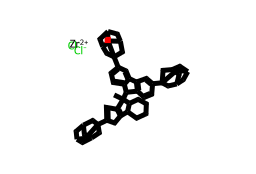 CC1(C2c3ccc(C45CC6CC(CC(C6)C4)C5)cc3-c3cc(C45CC6CC(CC(C6)C4)C5)ccc32)C2=C(CC(C34CC5CC(CC(C5)C3)C4)=C2)C2CCCCC21.[Cl-].[Cl-].[Zr+2]